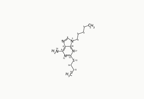 CCCCCn1cnc2c(N)nc(SCCC)nc21